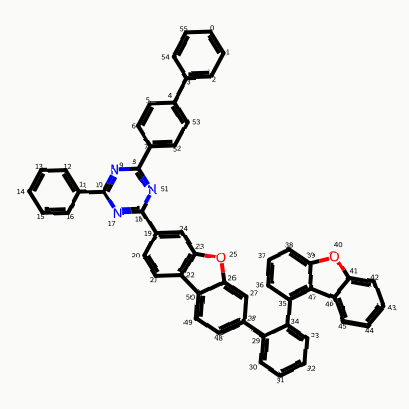 c1ccc(-c2ccc(-c3nc(-c4ccccc4)nc(-c4ccc5c(c4)oc4cc(-c6ccccc6-c6cccc7oc8ccccc8c67)ccc45)n3)cc2)cc1